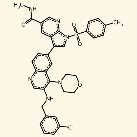 CNC(=O)c1cnc2c(c1)c(-c1ccc3ncc(NCc4cccc(Cl)c4)c(N4CCOCC4)c3c1)cn2S(=O)(=O)c1ccc(C)cc1